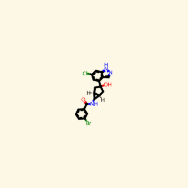 O=C(NC1[C@H]2CC(O)(c3cc(Cl)cc4[nH]ncc34)C[C@@H]12)c1cccc(Br)c1